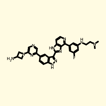 CN(C)CCNc1cc(F)cc(-c2nccc3[nH]c(-c4n[nH]c5ccc(-c6cncc(N7CC(N)C7)n6)cc45)nc23)c1